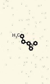 Cc1cccc(-c2cccc(-c3ccc4c(c3)c3ccccc3n4-c3ccccc3)c2)c1